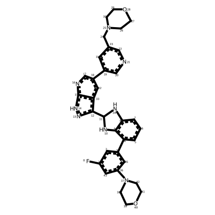 Fc1cc(-c2cccc3c2NC(c2n[nH]c4ncc(-c5cncc(CN6CCOCC6)c5)cc24)N3)cc(N2CCOCC2)c1